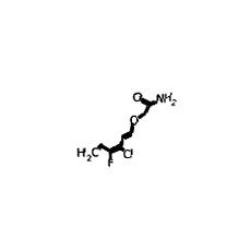 C=C/C(F)=C(Cl)\C=C\OCC(N)=O